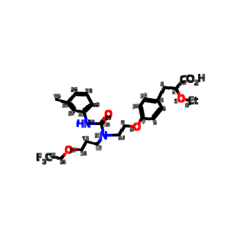 CCOC(Cc1ccc(OCCN(CCCOCC(F)(F)F)C(=O)Nc2cccc(C)c2)cc1)C(=O)O